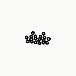 c1ccc(-c2cccc(N(c3cc4c(c5ccccc35)-c3c(cc(N(c5cccc(-c6ccccc6)c5)c5cccc6c5oc5c(-c7ccccc7)cccc56)c5ccccc35)C4(c3ccccc3)c3ccccc3)c3cccc4c3oc3c(-c5ccccc5)cccc34)c2)cc1